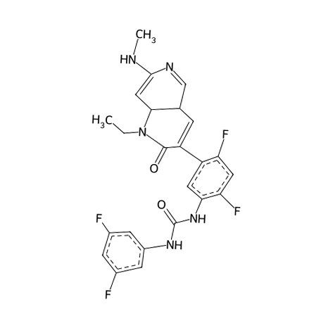 CCN1C(=O)C(c2cc(NC(=O)Nc3cc(F)cc(F)c3)c(F)cc2F)=CC2C=NC(NC)=CC21